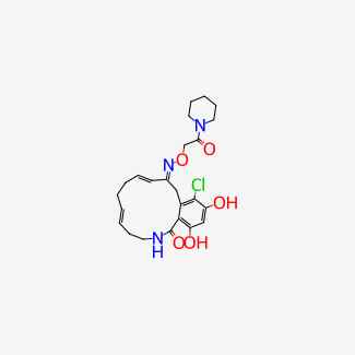 O=C1NCC/C=C/CC/C=C/C(=N/OCC(=O)N2CCCCC2)Cc2c(Cl)c(O)cc(O)c21